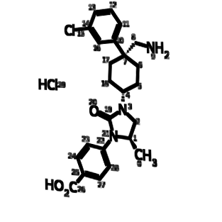 C[C@@H]1CN([C@H]2CC[C@](CN)(c3cccc(Cl)c3)CC2)C(=O)N1c1ccc(C(=O)O)cc1.Cl